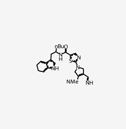 CCCCC(Cc1c[nH]c2c1=CCCC=2)NC(=O)c1cnc(N2CC(C=N)=C(NC)C2)s1